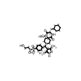 CCCCN1C(=O)[C@H](CC2CCCCC2)NC(=O)C12CCN(C(c1ccc(S(=O)(=O)N(C)CCO)cc1)c1c(C)n[nH]c1C)CC2